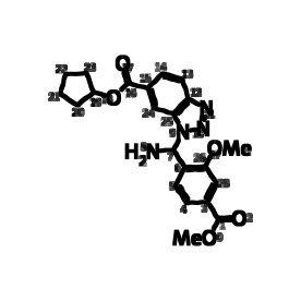 COC(=O)c1ccc(C(N)n2nnc3ccc(C(=O)OC4CCCC4)cc32)c(OC)c1